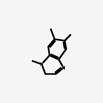 Cc1cc2c(cc1C)N(C)CC=N2